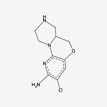 Nc1nc2c(cc1Cl)OCC1CNCCN21